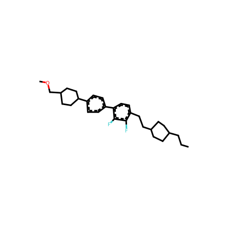 CCCC1CCC(CCc2ccc(-c3ccc(C4CCC(COC)CC4)cc3)c(F)c2F)CC1